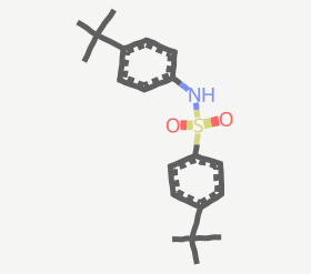 CC(C)(C)c1ccc(NS(=O)(=O)c2ccc(C(C)(C)C)cc2)cc1